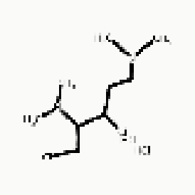 CN(C)CCC(Cl)C(CCl)N(C)C.Cl.Cl